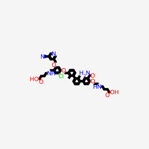 Cc1c(COc2cc(OCc3cncc(C#N)c3)c(CNCCCC(=O)O)cc2Cl)cccc1-c1cccc(-c2ccc(OCCNCCCC(=O)O)c(C(N)=O)c2)c1C